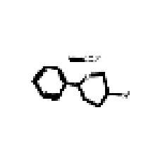 CC(=O)O.OC1CCC(c2ccccc2)OC1